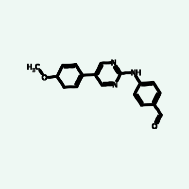 COC1C=CC(c2cnc(Nc3ccc(C=O)cc3)nc2)=CC1